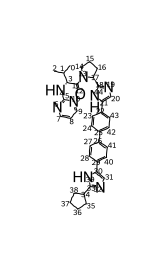 CC(C)[C@@H](Nc1ncccn1)C(=O)N1CCC[C@H]1c1ncc(-c2ccc(-c3ccc(-c4cnc(C5CCCC5)[nH]4)cc3)cc2)[nH]1